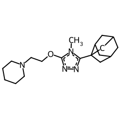 Cn1c(OCCN2CCCCC2)nnc1C12CC3CC(CC1C3)C2